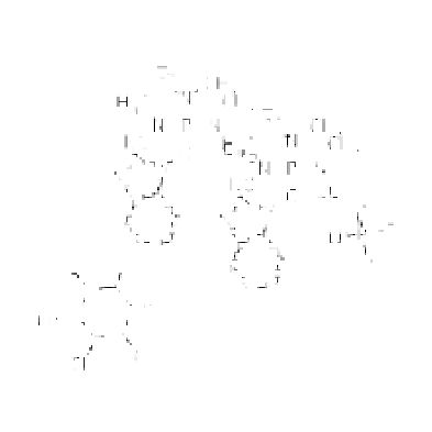 CN(C)[P+](On1nnc2ccccc21)(N(C)C)N(C)C.CN(C)[P+](On1nnc2ccccc21)(N(C)C)N(C)C.Cl[C@H]1[C@H](Cl)[C@@H](Cl)[C@@H](Cl)[C@H](Cl)[C@H]1Cl.O=P([O-])([O-])F